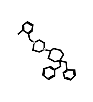 Cc1ccccc1CN1CCN(C2CCCC(Cc3ccccc3)(Cc3ccccc3)CC2)CC1